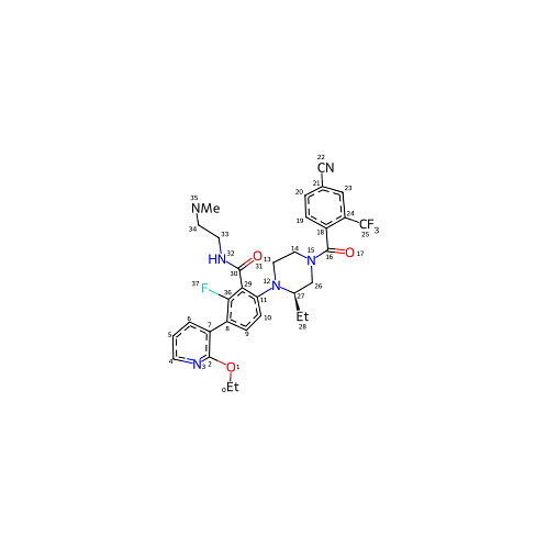 CCOc1ncccc1-c1ccc(N2CCN(C(=O)c3ccc(C#N)cc3C(F)(F)F)C[C@H]2CC)c(C(=O)NCCNC)c1F